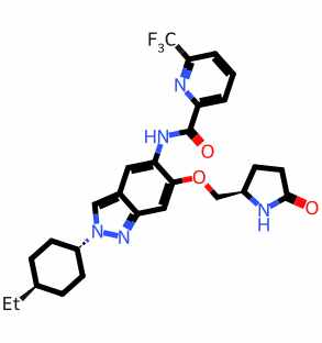 CC[C@H]1CC[C@H](n2cc3cc(NC(=O)c4cccc(C(F)(F)F)n4)c(OC[C@H]4CCC(=O)N4)cc3n2)CC1